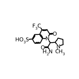 CN1CCCC1C(C(N)=O)n1c(=O)cc(C(F)(F)F)c2cc(S(=O)(=O)O)ccc21